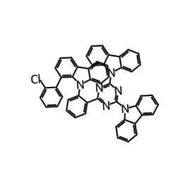 Clc1ccccc1-c1cccc2c3ccccc3n(-c3ccccc3-c3nc(-n4c5ccccc5c5ccccc54)nc(-n4c5ccccc5c5ccccc54)n3)c12